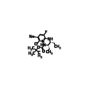 CC[C@H](NC(=O)OC(C)(C)C)[C@@H](CC)Nc1nc(Cl)c(C#N)cc1F